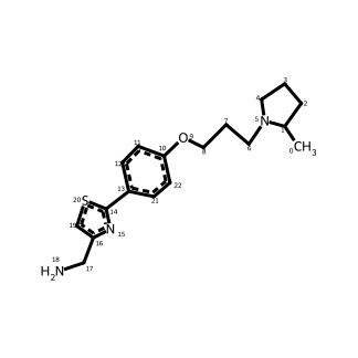 CC1CCCN1CCCOc1ccc(-c2nc(CN)cs2)cc1